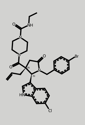 C=CC[C@@]1(C(=O)N2CCN(C(=O)NCC)CC2)CC(=O)N(Cc2ccc(Br)cc2)[C@H]1c1c[nH]c2cc(Cl)ccc12